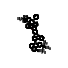 Cc1ccccc1-c1cc(C(C)(C)C)ccc1N(c1ccccc1)c1ccc2c3cc4c(cc3n3c5ccccc5c1c23)c1ccc(N(c2ccccc2)c2ccc(C(C)(C)C)cc2-c2ccccc2C)c2c3ccccc3n4c12